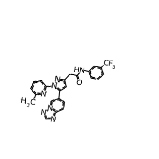 Cc1cccc(-n2nc(CC(=O)Nc3cccc(C(F)(F)F)c3)cc2-c2ccc3ncnn3c2)n1